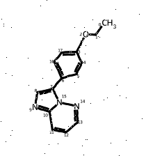 CCOc1ccc(-c2cnc3cccnn23)cc1